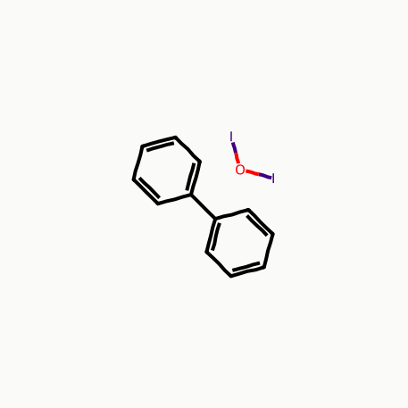 IOI.c1ccc(-c2ccccc2)cc1